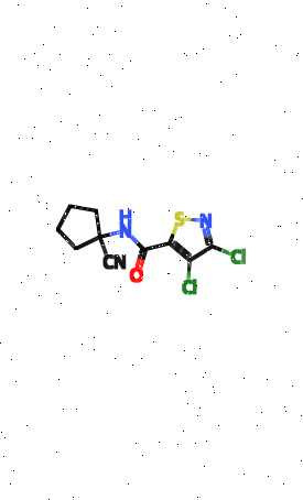 N#CC1(NC(=O)c2snc(Cl)c2Cl)CCCC1